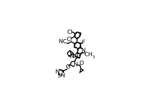 Cc1nc2c(F)c(-c3cccc(Cl)c3Cl)c(CCC#N)cc2c2c1cc(C1CC(OCc3cnsn3)CN1C(=O)C1CC1)n2C1C2CNC1C2